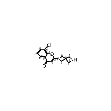 O=c1cc(N2CC3(CNC3)C2)oc2c(Cl)cccc12